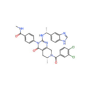 CNC(=O)c1ccc(-n2c(N[C@H](C)c3ccc4[nH]cnc4c3)nc3c(c2=O)C[C@@H](C)N(C(=O)c2ccc(Cl)c(Cl)c2)C3)cc1